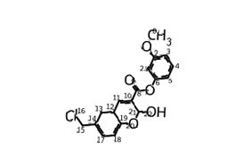 COc1cccc(OC(=O)C2=CC3CC(CCl)=CC=C3OC2O)c1